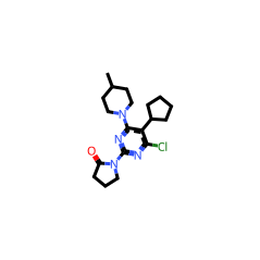 CC1CCN(c2nc(N3CCCC3=O)nc(Cl)c2C2CCCC2)CC1